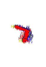 CC(C)C[C@H](N)C(=O)O.CC(C)C[C@H](N)C(=O)O.CC(C)[C@H](N)C(=O)O.CC(C)[C@H](N)C(=O)O.C[C@@H](O)[C@H](N)C(=O)O.NCCCC[C@H](N)C(=O)O.NCCCC[C@H](N)C(=O)O.N[C@@H](CS)C(=O)O.N[C@@H](CS)C(=O)O.O=C(O)[C@@H]1CCCN1.O=C(O)[C@@H]1CCCN1